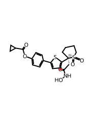 O=C(C[C@]1(c2ccc(-c3ccc(OC(=O)C4CC4)cc3)s2)CCCCS1(=O)=O)NO